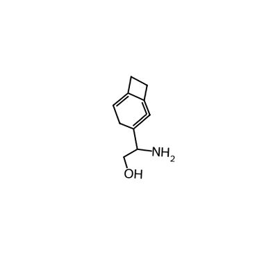 NC(CO)C1=C=C2CCC2=CC1